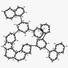 c1ccc(-c2cc(-c3ccc4c(ccc5ccc6sc7ccc(-c8nc(-c9ccccc9)nc(-c9cccc%10ccccc9%10)n8)cc7c6c54)c3)cc(-c3cccc4ccccc34)c2)cc1